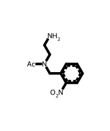 CC(=O)N(CCN)Cc1ccccc1[N+](=O)[O-]